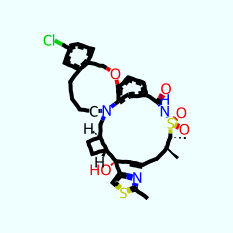 Cc1nc([C@]2(O)/C=C/C[C@H](C)[C@@H](C)S(=O)(=O)NC(=O)c3ccc4c(c3)N(CCCCc3cc(Cl)ccc3CO4)C[C@@H]3CC[C@H]32)cs1